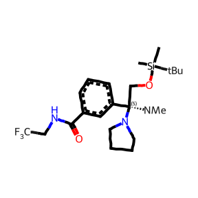 CN[C@@](CO[Si](C)(C)C(C)(C)C)(c1cccc(C(=O)NCC(F)(F)F)c1)N1CCCC1